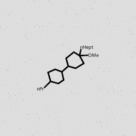 CCCCCCCC1(OC)CCC(C2CCC(CCC)CC2)CC1